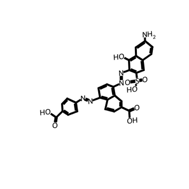 Nc1ccc2cc(S(=O)(=O)O)c(/N=N/c3ccc(/N=N/c4ccc(C(=O)O)cc4)c4ccc(C(=O)O)cc34)c(O)c2c1